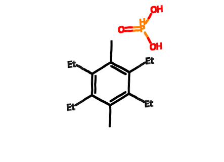 CCc1c(C)c(CC)c(CC)c(C)c1CC.O=[PH](O)O